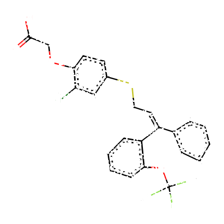 O=C(O)COc1ccc(SC/C=C(/c2ccccc2)c2ccccc2OC(F)(F)F)cc1Cl